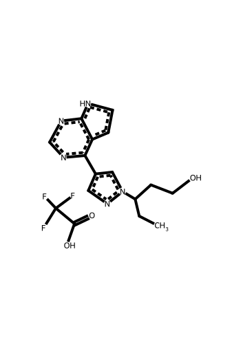 CCC(CCO)n1cc(-c2ncnc3[nH]ccc23)cn1.O=C(O)C(F)(F)F